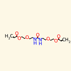 C=CC(=O)OCCOCCNC(=O)NCCOCCOC(=O)C=C